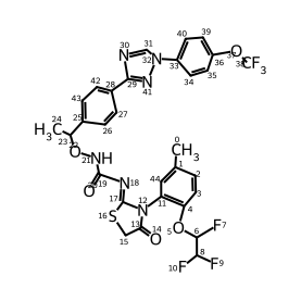 Cc1ccc(OC(F)C(F)F)c(N2C(=O)CS/C2=N\C(=O)NOC(C)c2ccc(-c3ncn(-c4ccc(OC(F)(F)F)cc4)n3)cc2)c1